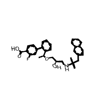 CC(OC[C@H](O)CNC(C)(C)Cc1ccc2ccccc2c1)c1ccccc1-c1ccc(C(=O)O)c(F)c1